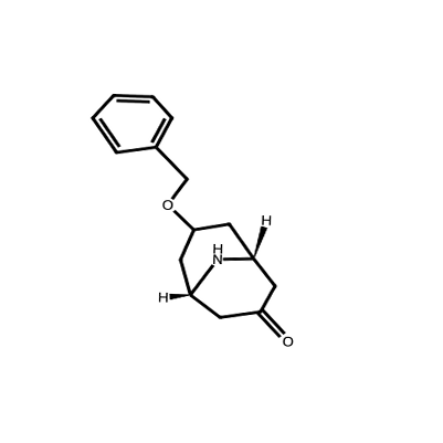 O=C1C[C@@H]2CC(OCc3ccccc3)C[C@H](C1)N2